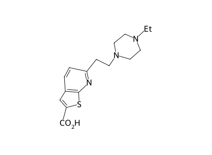 CCN1CCN(CCc2ccc3cc(C(=O)O)sc3n2)CC1